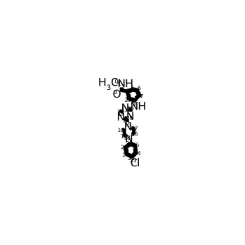 CNC(=O)c1cccc(Nc2ncnc(N3CCN(c4ccc(Cl)cc4)CC3)n2)c1